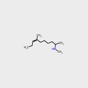 CC/C=C(/C)CCCCC(C)NC